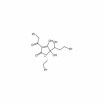 CC(C)CCC(O)C1(O)C(O)=C(C(=O)CC(C)C)C(=O)[C@H]1CCC(C)C